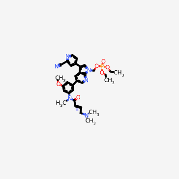 CCOP(=O)(OCC)OCn1cc(-c2ccnc(C#N)c2)c2cc(-c3cc(OC)cc(N(C)C(=O)/C=C/CN(C)C)c3)cnc21